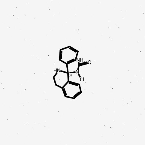 NC(=O)N(Cl)[C@]1(c2ccccc2)NCCc2ccccc21